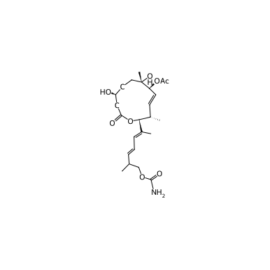 CC(=O)O[C@H]1/C=C/[C@H](C)[C@@H](/C(C)=C/C=C/C(C)COC(N)=O)OC(=O)C[C@@H](O)CC[C@]1(C)O